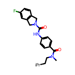 CC(C)CCN(C)C(=O)c1ccc(NC(=O)N2Cc3ccc(F)cc3C2)cc1